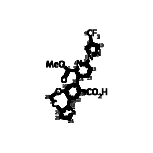 COC(=O)c1nc(-n2cc(C(F)(F)F)cn2)ccc1-c1cc2c(cc1C(=O)O)-c1sccc1CCO2